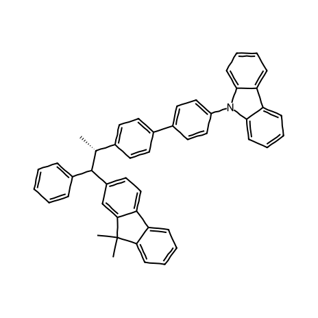 C[C@H](c1ccc(-c2ccc(-n3c4ccccc4c4ccccc43)cc2)cc1)C(c1ccccc1)c1ccc2c(c1)C(C)(C)c1ccccc1-2